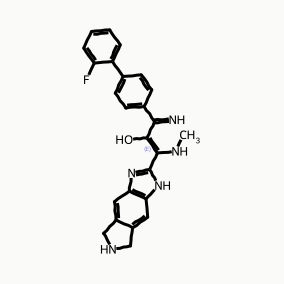 CN/C(=C(/O)C(=N)c1ccc(-c2ccccc2F)cc1)c1nc2cc3c(cc2[nH]1)CNC3